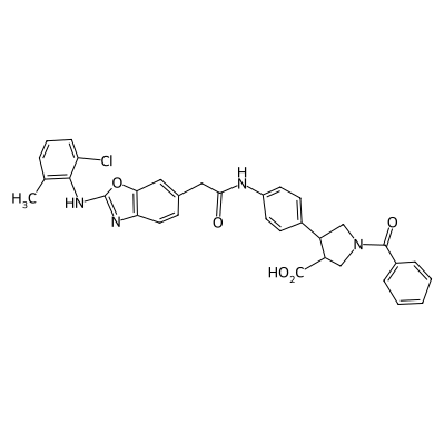 Cc1cccc(Cl)c1Nc1nc2ccc(CC(=O)Nc3ccc(C4CN(C(=O)c5ccccc5)CC4C(=O)O)cc3)cc2o1